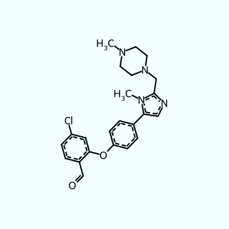 CN1CCN(Cc2ncc(-c3ccc(Oc4cc(Cl)ccc4C=O)cc3)n2C)CC1